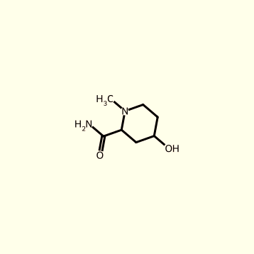 CN1CCC(O)CC1C(N)=O